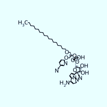 CCCCCCCCCCCCCCCCCCOC[C@H](COc1ccc(C#N)cn1)OP(=O)(O)OC[C@H]1O[C@@](C#N)(c2ccc3c(N)ccnn23)[C@H](O)[C@@H]1O